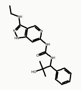 CCNc1n[nH]c2cc(NC(=O)NC(c3ccccc3)C(C)(C)O)ncc12